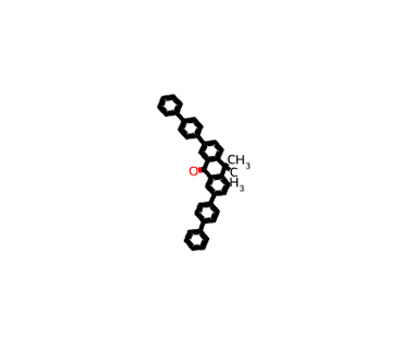 CC1(C)c2ccc(-c3ccc(-c4ccccc4)cc3)cc2C(=O)c2cc(-c3ccc(-c4ccccc4)cc3)ccc21